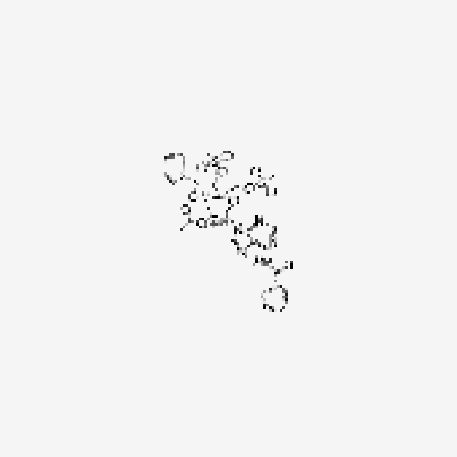 CC(=O)O[C@H]1[C@H](n2cnc3c(NC(=O)c4ccccc4)ncnc32)OC(COS(C)(=O)=O)(COS(C)(=O)=O)[C@@H]1OCc1ccccc1